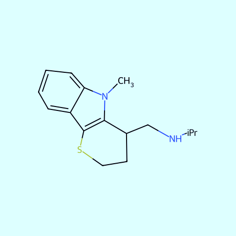 CC(C)NCC1CCSc2c1n(C)c1ccccc21